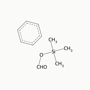 C[Si](C)(C)OC=O.c1ccccc1